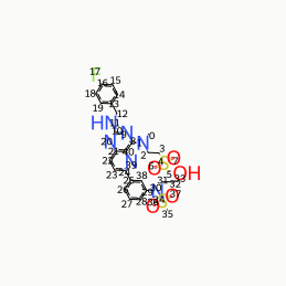 CN(CCS(C)(=O)=O)c1nc(NCc2ccc(F)cc2)nc2ccc(-c3cccc(N(CCO)S(C)(=O)=O)c3)nc12